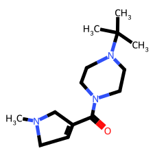 CN1CC=C(C(=O)N2CCN(C(C)(C)C)CC2)C1